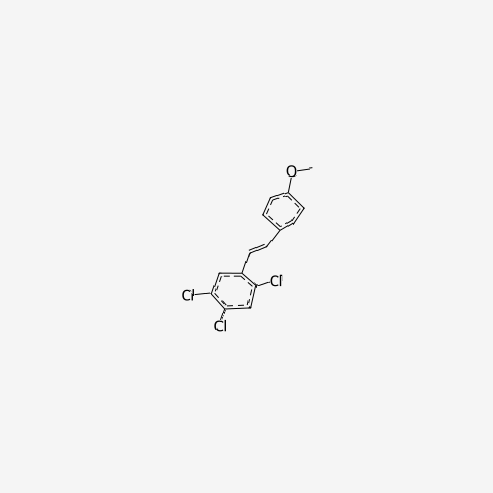 COc1ccc(C=Cc2cc(Cl)c(Cl)cc2Cl)cc1